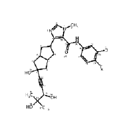 Cn1cnc(C2CC3CC(O)(C#C[C@@H](O)C(C)(C)O)CC3C2)c1C(=O)Nc1ccc(F)c(Cl)c1